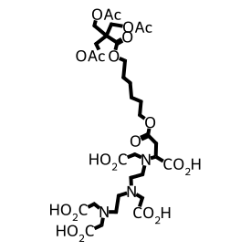 CC(=O)OCC(COC(C)=O)(COC(C)=O)C(=O)OCCCCCCOC(=O)CC(C(=O)O)N(CCN(CCN(CC(=O)O)CC(=O)O)CC(=O)O)CC(=O)O